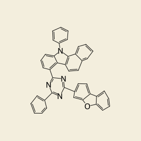 c1ccc(-c2nc(-c3ccc4c(c3)oc3ccccc34)nc(-c3cccc4c3c3ccc5ccccc5c3n4-c3ccccc3)n2)cc1